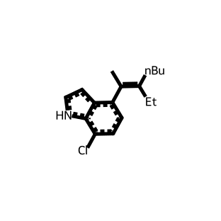 CCCC/C(CC)=C(\C)c1ccc(Cl)c2[nH]ccc12